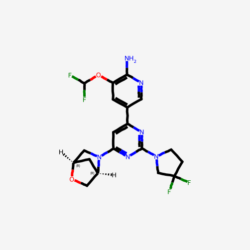 Nc1ncc(-c2cc(N3C[C@H]4C[C@@H]3CO4)nc(N3CCC(F)(F)C3)n2)cc1OC(F)F